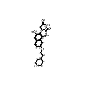 O=C1CN(c2c(O)cc3ccc(OCCC4CCNCC4)cc3c2F)S(=O)(=O)N1